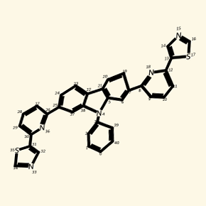 c1ccc(-n2c3cc(-c4cccc(-c5cncs5)n4)ccc3c3ccc(-c4cccc(-c5cncs5)n4)cc32)cc1